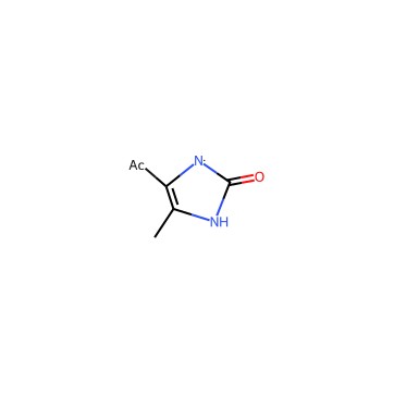 CC(=O)C1=C(C)NC(=O)[N]1